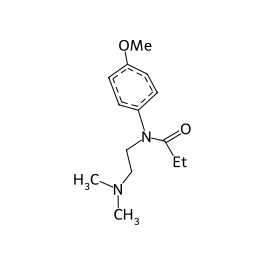 [CH2]CC(=O)N(CCN(C)C)c1ccc(OC)cc1